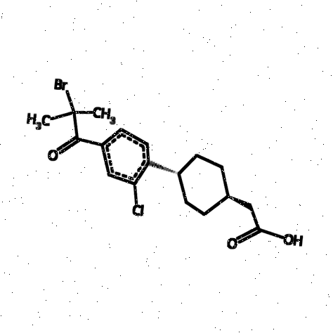 CC(C)(Br)C(=O)c1ccc([C@H]2CC[C@H](CC(=O)O)CC2)c(Cl)c1